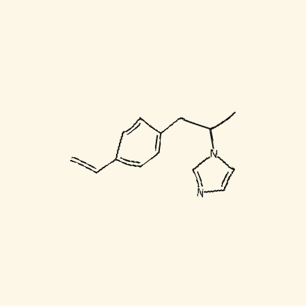 C=Cc1ccc(CC(C)n2ccnc2)cc1